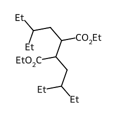 CCOC(=O)C(CC(CC)CC)C(CC(CC)CC)C(=O)OCC